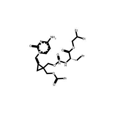 CCC(CC)COC(=O)[C@H](CC(C)C)N[PH](=O)OCC1(COC(=O)C(C)C)C/C1=C/n1ccc(N)nc1=O